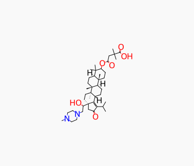 CC(C)C1=C2[C@H]3CC[C@@H]4[C@@]5(C)CC[C@H](OC(=O)CC(C)(C)C(=O)O)C(C)(C)[C@@H]5CC[C@@]4(C)[C@]3(C)CC[C@@]2([C@H](O)CN2CCN(C)CC2)CC1=O